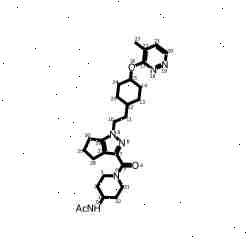 CC(=O)NC1CCN(C(=O)c2nn(CCC3CCC(Oc4nnccc4C)CC3)c3c2CCC3)CC1